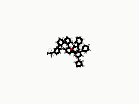 FC(F)(F)c1ccc2c(c1)c1ccccc1n2-c1ccc(-c2nc(-c3ccccc3)cc(-c3ccccc3)n2)cc1-c1ccccc1-n1c2ccccc2c2ccccc21